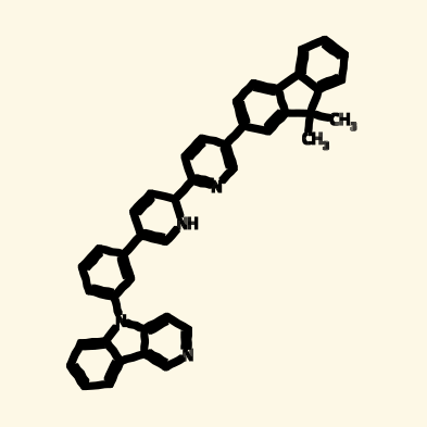 CC1(C)c2ccccc2-c2ccc(-c3ccc(C4C=CC(c5cccc(-n6c7ccccc7c7cnccc76)c5)=CN4)nc3)cc21